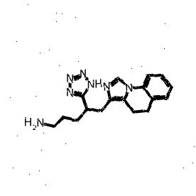 NCCCC(Cc1ncn2c1CCc1ccccc1-2)c1nnn[nH]1